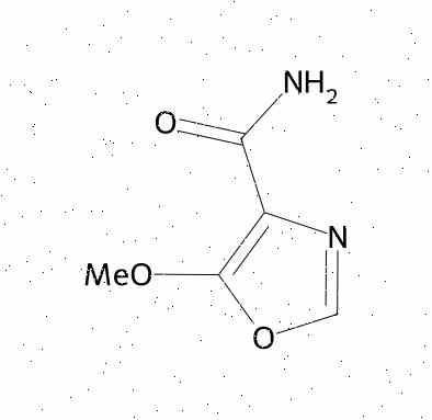 COc1ocnc1C(N)=O